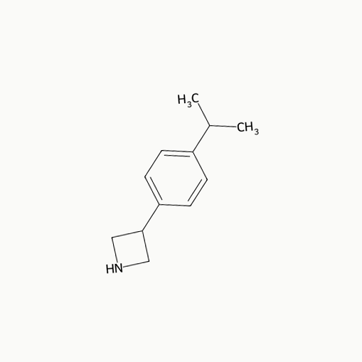 CC(C)c1ccc(C2CNC2)cc1